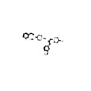 NC1CCN(C(=O)C(Cc2ccc3[nH]ncc3c2)OC(=O)N2CCC(N3CCc4ccccc4NC3=O)CC2)CC1